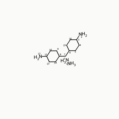 N.N.NC1CCC(CC2CCC(N)CC2)CC1